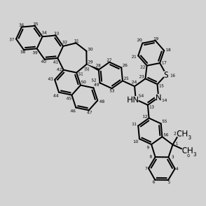 CC1(C)c2ccccc2-c2ccc(C3=Nc4sc5ccccc5c4C(c4ccc([C@@H]5CCc6cc7ccccc7cc6-c6ccc7ccccc7c65)cc4)N3)cc21